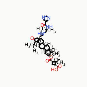 CC(C)C1=C2[C@H]3CC[C@@H]4[C@@]5(C)CC[C@H](OC(=O)[C@H]6C[C@@H](C(=O)O)C6(C)C)C(C)(C)[C@@H]5CC[C@@]4(C)[C@]3(C)CC[C@@]2(CCNCC(C)(C)NC(=O)c2cncnc2)CC1=O